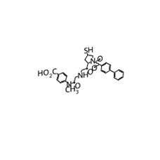 CN(C(=O)CNCC(=O)C1CC(S)CN1S(=O)(=O)c1ccc(-c2ccccc2)cc1)c1ccc(C(=O)O)cc1